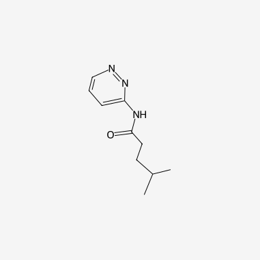 CC(C)CCC(=O)Nc1cccnn1